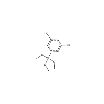 CO[Si](OC)(OC)c1cc(Br)cc(Br)c1